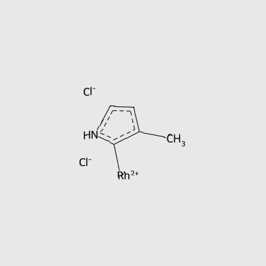 Cc1cc[nH][c]1[Rh+2].[Cl-].[Cl-]